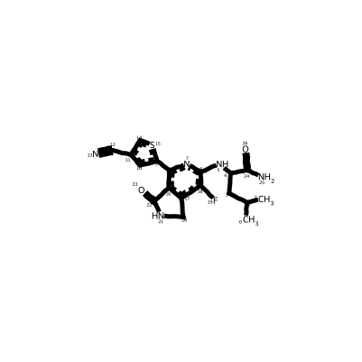 CC(C)CC(Nc1nc(-c2cc(C#N)cs2)c2c(c1F)CNC2=O)C(N)=O